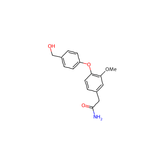 COc1cc(CC(N)=O)ccc1Oc1ccc(CO)cc1